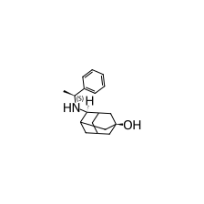 C[C@H](N[C@H]1C2CC3CC1C[C@@](O)(C3)C2)c1ccccc1